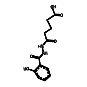 O=C(O)CCCC(=O)NNC(=O)c1ccccc1O